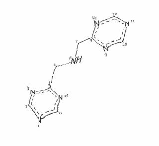 c1ncnc(CNCc2ncncn2)n1